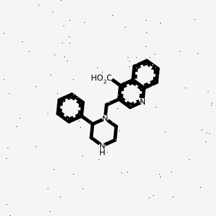 O=C(O)c1c(CN2CCNCC2c2ccccc2)cnc2ccccc12